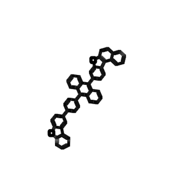 c1ccc2c(c1)ccc1oc3cc(-c4c5ccccc5c(-c5ccc(-c6ccc7oc8ccccc8c7c6)cc5)c5ccccc45)ccc3c12